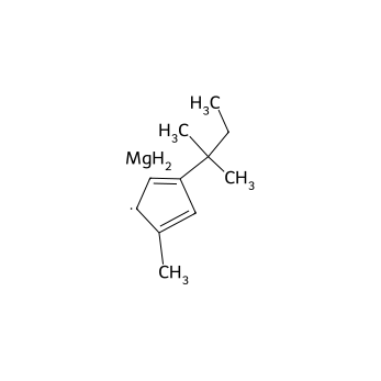 CCC(C)(C)C1=C[CH]C(C)=C1.[MgH2]